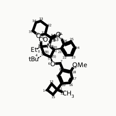 CC[C@@]1(C(=O)O)[C@@H](C(C)(C)C)[C@H](OCc2cc(C3(C)CCC3)ccc2OC)[C@H](c2ccccc2C)N1C(=O)C1CCCCO1